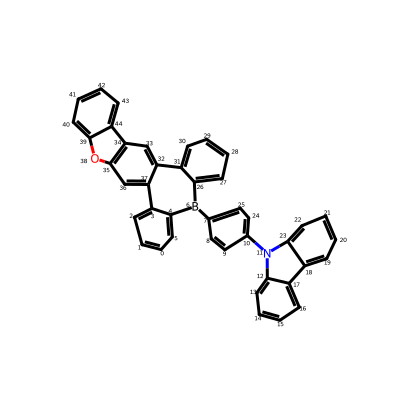 c1ccc2c(c1)B(c1ccc(-n3c4ccccc4c4ccccc43)cc1)c1ccccc1-c1cc3c(cc1-2)oc1ccccc13